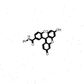 CC(C)NC(=O)c1ccc(C(=O)O)c(-c2c3ccc(=O)cc-3oc3cc(O)ccc23)c1